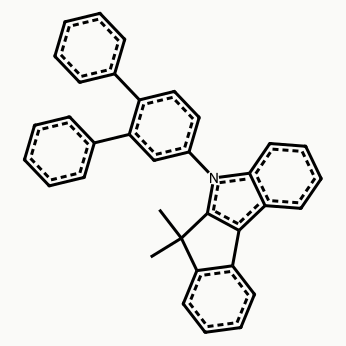 CC1(C)c2ccccc2-c2c1n(-c1ccc(-c3ccccc3)c(-c3ccccc3)c1)c1ccccc21